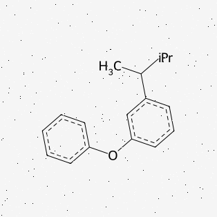 CC(C)C(C)c1cccc(Oc2ccccc2)c1